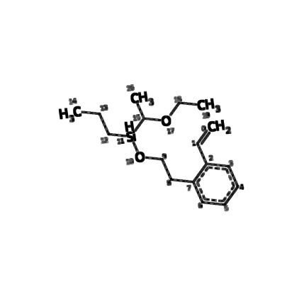 C=Cc1ccccc1CCO[SiH](CCC)C(C)OCC